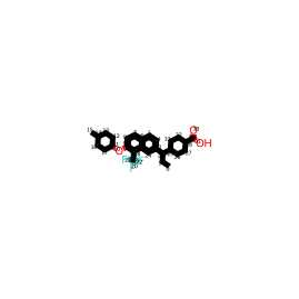 CCC(c1ccc2ccc(OC3CCC(C)CC3)c(C(F)(F)F)c2c1)C1CCC(C(=O)O)CC1